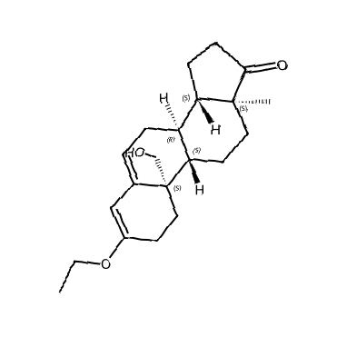 CCOC1=CC2=CC[C@@H]3[C@H](CC[C@]4(C)C(=O)CC[C@@H]34)[C@@]2(CO)CC1